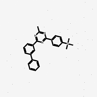 Cc1nc(-c2ccc([Si](C)(C)C)cc2)nc(-c2cccc(-c3ccccc3)c2)n1